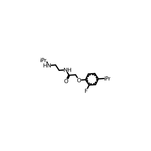 CC(C)NCCNC(=O)COc1ccc(C(C)C)cc1F